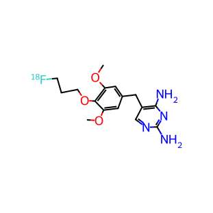 COc1cc(Cc2cnc(N)nc2N)cc(OC)c1OCCC[18F]